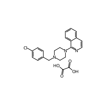 Clc1ccc(CN2CCN(c3nccc4ccccc34)CC2)cc1.O=C(O)C(=O)O